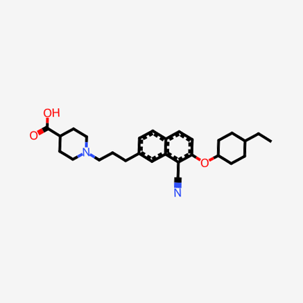 CCC1CCC(Oc2ccc3ccc(CCCN4CCC(C(=O)O)CC4)cc3c2C#N)CC1